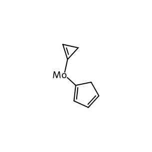 C1=CC[C]([Mo][C]2=CC2)=C1